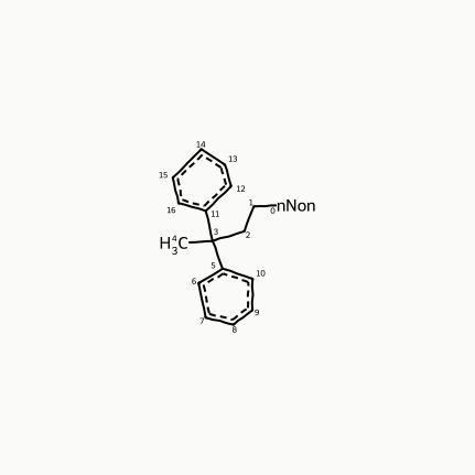 CCCCCCCCCCCC(C)(c1ccccc1)c1ccccc1